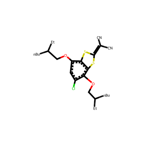 CCCCC(CC)COc1cc(Cl)c(OCC(CC)CCCC)c2c1SC(=C(C#N)C#N)S2